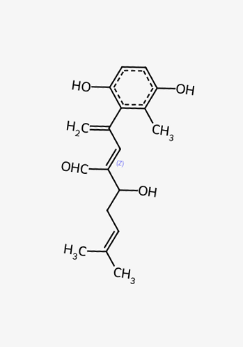 C=C(/C=C(\C=O)C(O)CC=C(C)C)c1c(O)ccc(O)c1C